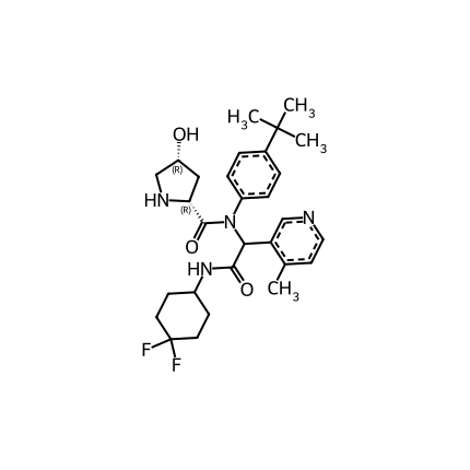 Cc1ccncc1C(C(=O)NC1CCC(F)(F)CC1)N(C(=O)[C@H]1C[C@@H](O)CN1)c1ccc(C(C)(C)C)cc1